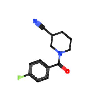 N#CC1CCCN(C(=O)c2ccc(F)cc2)C1